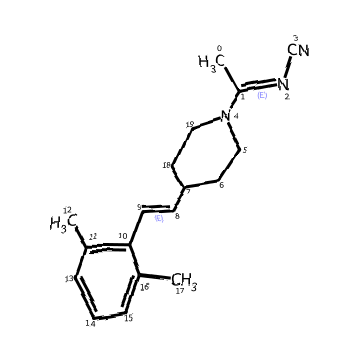 C/C(=N\C#N)N1CCC(/C=C/c2c(C)cccc2C)CC1